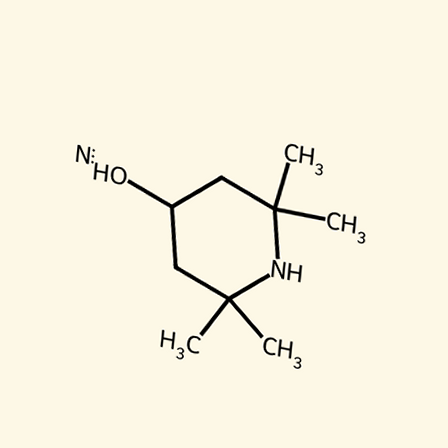 CC1(C)CC(O)CC(C)(C)N1.[N]